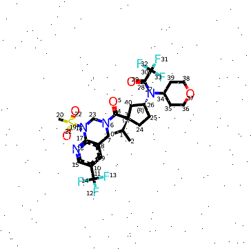 CC(C)[C@]1(C(=O)N2Cc3cc(C(F)(F)F)cnc3N(S(C)(=O)=O)C2)CC[C@@H](N(C(=O)C(F)(F)F)C2CCOCC2)C1